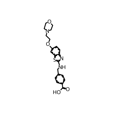 O=C(O)c1ccc(CNc2nc3ccc(OCCN4CCOCC4)cc3s2)cc1